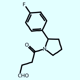 O=CCCC(=O)N1CCCC1c1ccc(F)cc1